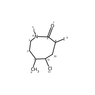 CC1CCN(I)C(=O)C(I)CC1Cl